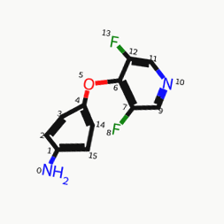 Nc1ccc(Oc2c(F)cncc2F)cc1